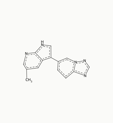 Cc1cnc2[nH]cc(-c3ccc4ncnn4c3)c2c1